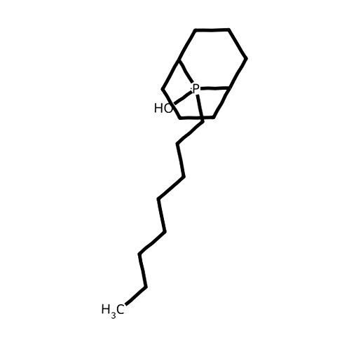 CCCCCCCC[P]1(O)C2CCCC1CCC2